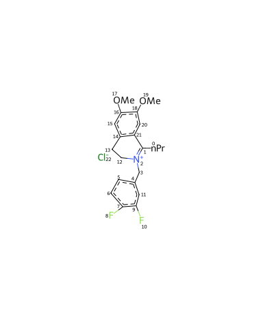 CCCC1=[N+](Cc2ccc(F)c(F)c2)CCc2cc(OC)c(OC)cc21.[Cl-]